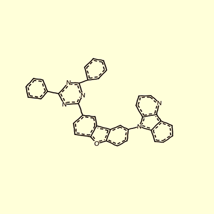 c1ccc(-c2nc(-c3ccccc3)nc(-c3ccc4oc5ccc(-n6c7ccccc7c7ncccc76)cc5c4c3)n2)cc1